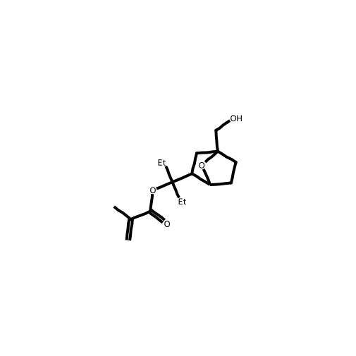 C=C(C)C(=O)OC(CC)(CC)C1CC2(CO)CCC1O2